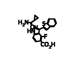 NC(=O)C1CC1.O=C(O)c1ccc2[nH]nc(-c3cc4ccccc4s3)c2c1F